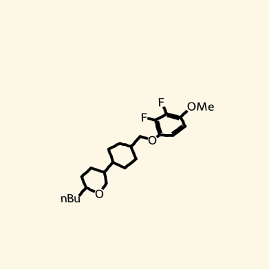 CCCCC1CCC(C2CCC(COc3ccc(OC)c(F)c3F)CC2)CO1